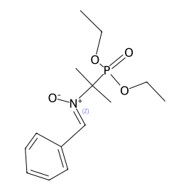 CCOP(=O)(OCC)C(C)(C)/[N+]([O-])=C/c1ccccc1